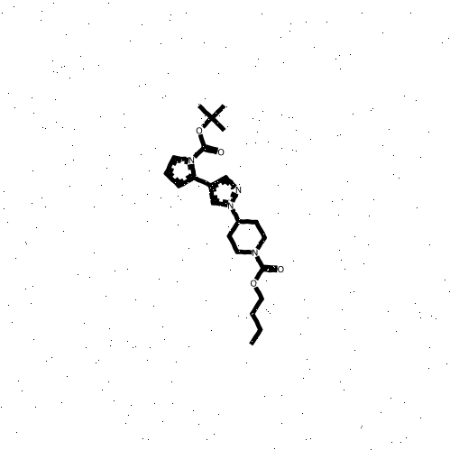 CCCCOC(=O)N1CCC(n2cc(-c3cccn3C(=O)OC(C)(C)C)cn2)CC1